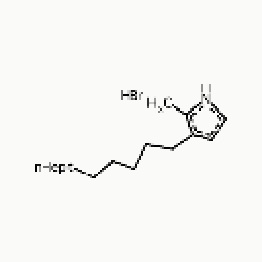 Br.CCCCCCCCCCCCc1cc[nH]c1C